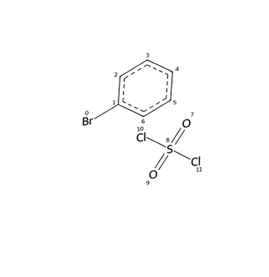 Brc1ccccc1.O=S(=O)(Cl)Cl